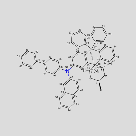 C[C@H]1C[C@@H]2C[C@@H](C)C[C@H](C1)C21c2ccccc2C(c2ccccc2)(c2ccccc2)c2ccc(N(c3ccc(-c4ccccc4)cc3)c3ccc4ccccc4c3)cc21